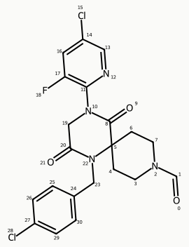 O=CN1CCC2(CC1)C(=O)N(c1ncc(Cl)cc1F)CC(=O)N2Cc1ccc(Cl)cc1